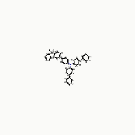 C[Si]1(C)c2ccccc2-c2cc(-c3ccc(N(c4ccc(-c5ccccc5)cc4)c4ccc(-c5ccccc5)cc4)cc3)ccc21